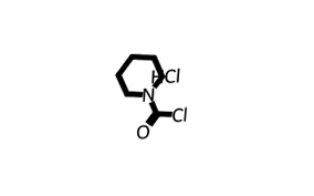 Cl.O=C(Cl)N1CCCCC1